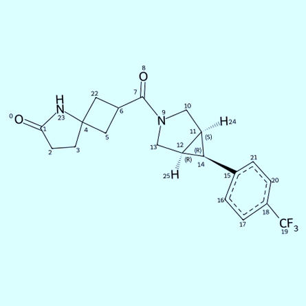 O=C1CCC2(CC(C(=O)N3C[C@@H]4[C@H](C3)[C@@H]4c3ccc(C(F)(F)F)cc3)C2)N1